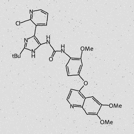 COc1cc(Oc2ccnc3cc(OC)c(OC)cc23)ccc1NC(=O)Nc1[nH]c(C(C)(C)C)nc1-c1cccnc1Cl